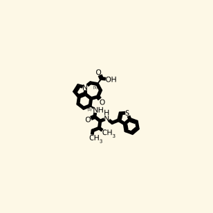 CCC(C)C(NCc1csc2ccccc12)C(=O)N[C@H]1CCc2ccn3c2C1C(=O)C[C@H](C(=O)O)C3